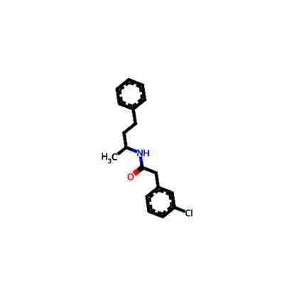 CC(CCc1ccccc1)NC(=O)Cc1cccc(Cl)c1